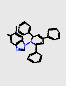 Cc1cc2ncn(N3C(c4ccccc4)=CC(c4ccccc4)=CC3c3ccccc3)c2cc1C